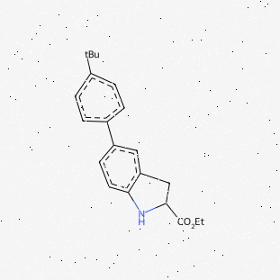 CCOC(=O)C1Cc2cc(-c3ccc(C(C)(C)C)cc3)ccc2N1